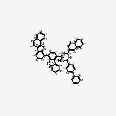 c1ccc(-c2ccc(C3=NC(c4ccc5ccccc5c4)NC(c4ccc(-c5cccc6c5sc5c7ccccc7ccc65)c5oc6ccccc6c45)N3)cc2)cc1